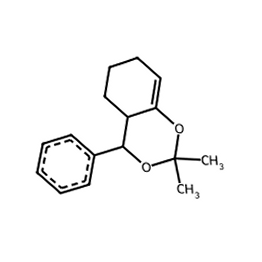 CC1(C)OC2=CCCCC2C(c2ccccc2)O1